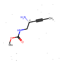 CC#C[C@@H](N)CNC(=O)OC(C)(C)C